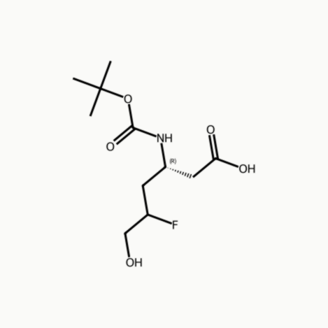 CC(C)(C)OC(=O)N[C@H](CC(=O)O)CC(F)CO